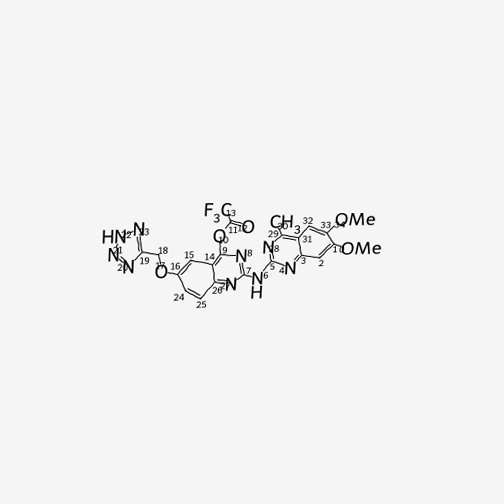 COc1cc2nc(Nc3nc(OC(=O)C(F)(F)F)c4cc(OCc5nn[nH]n5)ccc4n3)nc(C)c2cc1OC